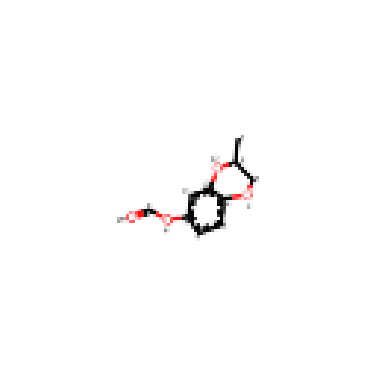 CC1COc2ccc(OC=O)cc2O1